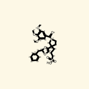 COc1cc(C(=O)N2CCC(CCCS(=O)(=O)O)(C3=COC(Cc4ccccc4)O3)C2)cc(OC)c1OC